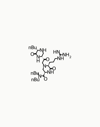 CCCC[C@@H]1NC[C@H](C(=O)CN2C[C@H](C(=O)N(CCCC)CCCC)NC(=O)[C@@H]2CCCNC(=N)N)NC1=O